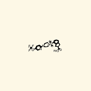 O=C(O)C1Cc2cccc(S(=O)(=O)N3CCN(c4ccc(OC(F)(F)F)cn4)CC3)c2C1